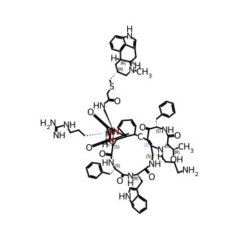 C[C@@H](O)[C@@H]1N/C2=C(/CC3C=CC=CC34C[C@H](NC(=O)[C@H](CCCNC(=N)N)NC(=O)[C@H](NC(=O)CSC[C@@H]3C[C@@H]5c6cccc7[nH]cc(c67)C[C@H]5N(C)C3)CCN4)C(=O)N[C@@H](Cc3ccccc3)C(=O)N[C@H](Cc3c[nH]c4ccccc34)C(=O)N[C@H]2CCCCN)C(=O)[C@H](Cc2ccccc2)NC1=O